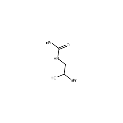 CCCC(=O)NCC(O)CCC